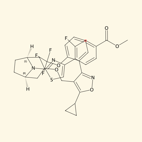 COC(=O)c1ccc(-c2csc(N3[C@@H]4CC[C@H]3CC(OCc3c(-c5ccccc5OC(F)(F)F)noc3C3CC3)C4)n2)c(F)c1